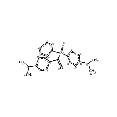 CC(C)c1ccc(C(=O)P(=O)(c2ccccc2)c2ccc(C(C)C)cc2)cc1